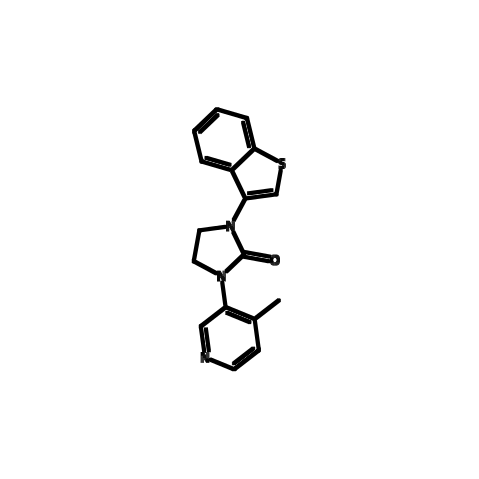 Cc1ccncc1N1CCN(c2csc3ccccc23)C1=O